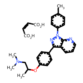 Cc1ccc(-n2nc(-c3ccc(OC(C)CN(C)C)cc3)c3cccnc32)cc1.O=C(O)/C=C\C(=O)O